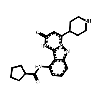 O=C(Nc1cccc2nn3c(C4CCNCC4)cc(=O)[nH]c3c12)C1CCCC1